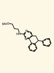 COCCCNc1ncc2c(n1)-c1ccccc1C(c1ccccc1)C2